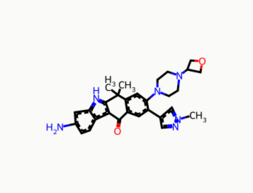 Cn1cc(-c2cc3c(cc2N2CCN(C4COC4)CC2)C(C)(C)c2[nH]c4cc(N)ccc4c2C3=O)cn1